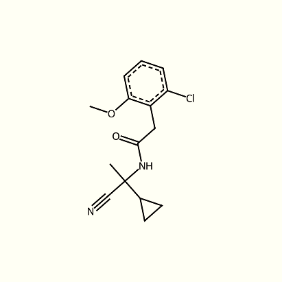 COc1cccc(Cl)c1CC(=O)NC(C)(C#N)C1CC1